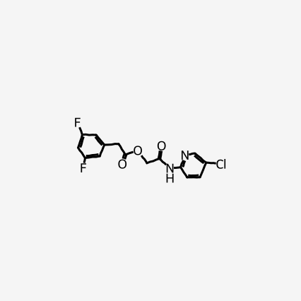 O=C(COC(=O)Cc1cc(F)cc(F)c1)Nc1ccc(Cl)cn1